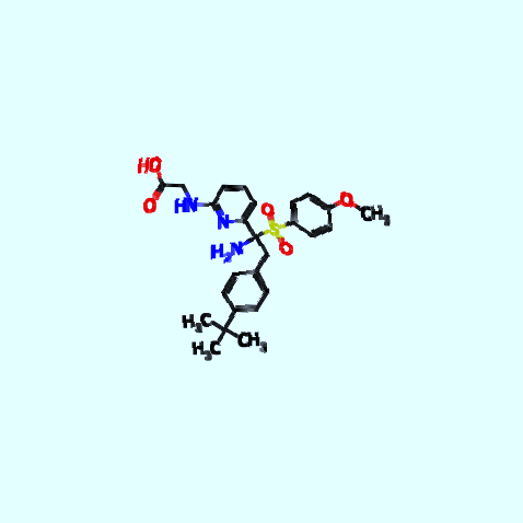 COc1ccc(S(=O)(=O)C(N)(Cc2ccc(C(C)(C)C)cc2)c2cccc(NCC(=O)O)n2)cc1